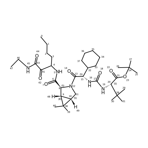 CCCCC(NC(=O)[C@@H]1[C@@H]2[C@H](CN1C(=O)[C@@H](NC(=O)N[C@H](C(=O)OC(C)(C)C)C(C)(C)C)C1CCCCC1)C2(C)C)C(=O)C(=O)NCC